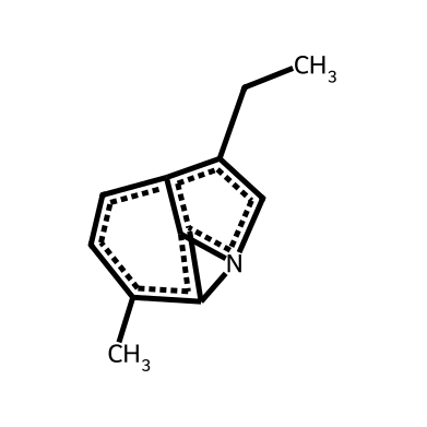 CCc1cn2c3c-2c(C)ccc13